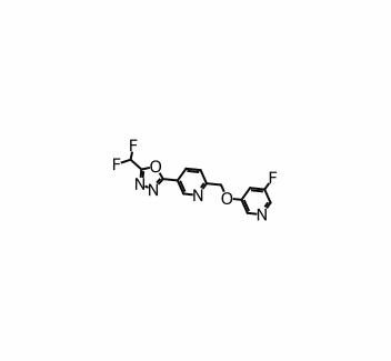 Fc1cncc(OCc2ccc(-c3nnc(C(F)F)o3)cn2)c1